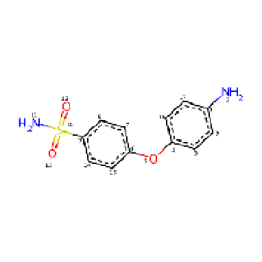 Nc1ccc(Oc2ccc(S(N)(=O)=O)cc2)cc1